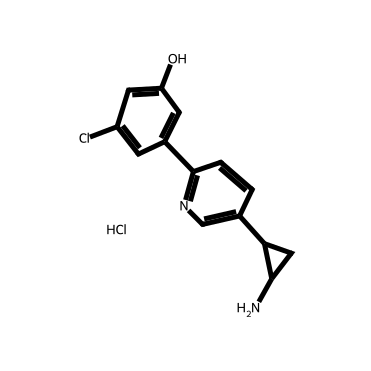 Cl.NC1CC1c1ccc(-c2cc(O)cc(Cl)c2)nc1